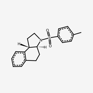 Cc1ccc(S(=O)(=O)N2CC[C@H]3c4ccccc4CC[C@@H]32)cc1